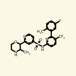 Cc1ccc(F)cc1-c1nc(NS(=O)(=O)c2ccnc(C3OCCNC3C)c2)ccc1C(F)(F)F